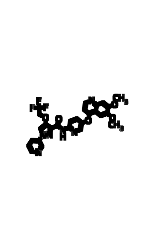 COc1cc2nccc(Oc3ccc(NC(=O)c4nn(-c5cccnc5)cc4OCC(F)(F)F)nc3)c2cc1OC